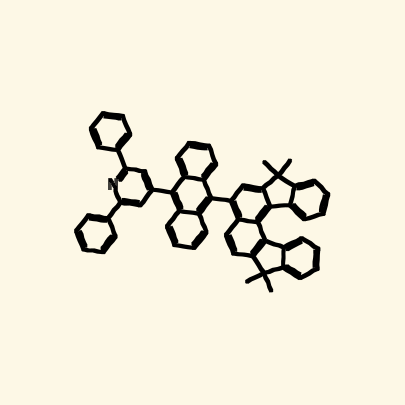 CC1(C)c2ccccc2-c2c1ccc1c(-c3c4ccccc4c(-c4cc(-c5ccccc5)nc(-c5ccccc5)c4)c4ccccc34)cc3c(c21)-c1ccccc1C3(C)C